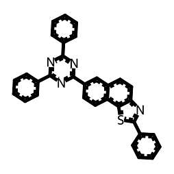 c1ccc(-c2nc(-c3ccccc3)nc(-c3ccc4c(ccc5nc(-c6ccccc6)sc54)c3)n2)cc1